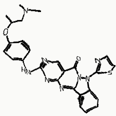 CC(CN(C)C)Oc1ccc(Nc2ncc3c(=O)n4c(nc3n2)c2ccccc2n4-c2nccs2)cc1